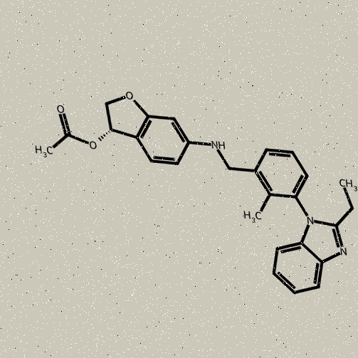 CCc1nc2ccccc2n1-c1cccc(CNc2ccc3c(c2)OC[C@H]3OC(C)=O)c1C